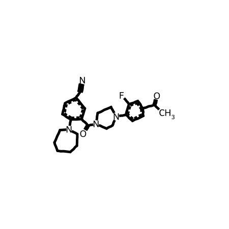 CC(=O)c1ccc(N2CCN(C(=O)c3cc(C#N)ccc3N3CCCCCC3)CC2)c(F)c1